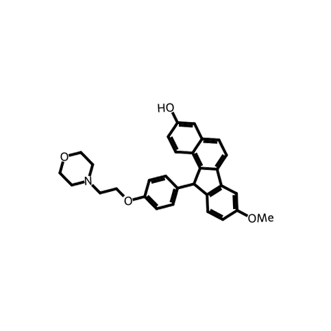 COc1ccc2c(c1)-c1ccc3cc(O)ccc3c1C2c1ccc(OCCN2CCOCC2)cc1